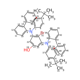 CC(C)(C)c1ccc(N(c2ccccc2-c2ccccc2)c2cc(O)cc(N(c3ccc(C(C)(C)C)cc3)c3ccccc3-c3ccccc3)c2Br)cc1